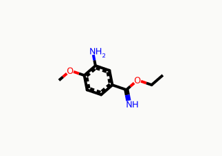 CCOC(=N)c1ccc(OC)c(N)c1